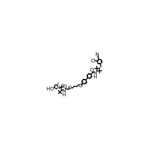 C[C@@H]1C[C@@H](O)CN1C(=O)C(NC(=O)COCCCCOc1ccc(-c2ccc(C(=O)N[C@H]3C(C)(C)[C@H](Cc4ccc(C#N)c(Cl)c4)C3(C)C)cc2)cc1)C(C)(C)C